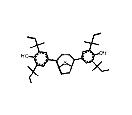 CCC(C)(C)c1cc(C2CCC(c3cc(C(C)(C)CC)c(O)c(C(C)(C)CC)c3)C3CCC2S3)cc(C(C)(C)CC)c1O